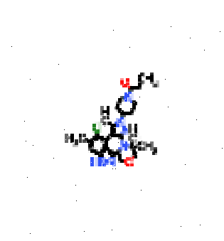 C=CC(=O)N1CCC(n2nc(N3CCOCC3(C)C)c(-c3c(Cl)c(C)cc4[nH]ncc34)c2C)CC1